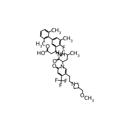 COCC1CN(CCc2cn(C(CC(C)C)C(=O)NC(CC(=O)O)c3cc(-c4c(C)cccc4C)cc(C)c3F)c(=O)cc2C(F)(F)F)C1